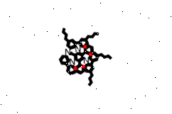 CCCCc1ccc2c(c1)c1cc(CCCC)ccc1n2-c1c(C#N)c(-n2c3ccccc3c3ccccc32)c(-c2ccccc2)c(-n2c3ccc(CCCC)cc3c3cc(CCCC)ccc32)c1-c1ccccc1